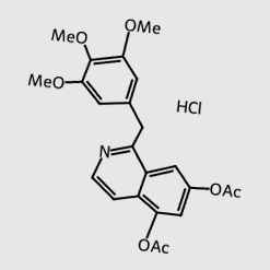 COc1cc(Cc2nccc3c(OC(C)=O)cc(OC(C)=O)cc23)cc(OC)c1OC.Cl